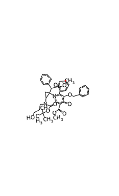 COC(=O)c1cn(C2(C(c3ccccc3)c3ccccc3)CC2N(CCCO)C(=O)OC(C)(C)C)c(C(=O)OC)c(OCc2ccccc2)c1=O